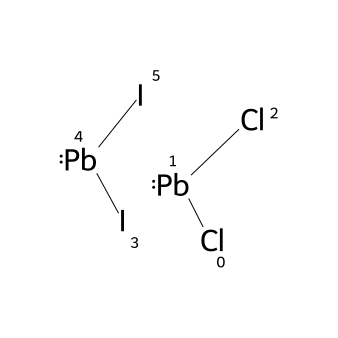 [Cl][Pb][Cl].[I][Pb][I]